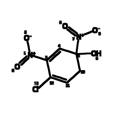 O=[N+]([O-])C1=CC(O)([N+](=O)[O-])CC=C1Cl